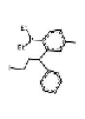 CCP(CC)c1ccc(C)cc1C(CCI)c1ccccc1